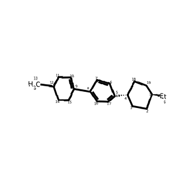 CC[C@H]1CC[C@H](c2ccc(C3=CCC(C)CC3)cc2)CC1